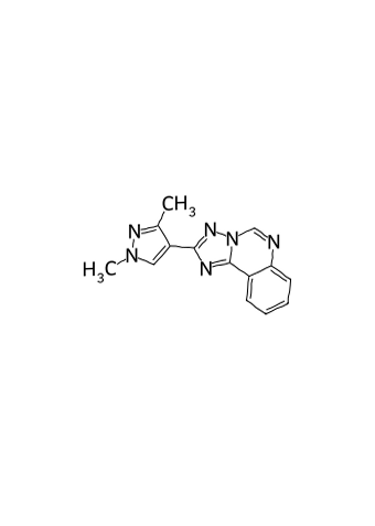 Cc1nn(C)cc1-c1nc2c3ccccc3ncn2n1